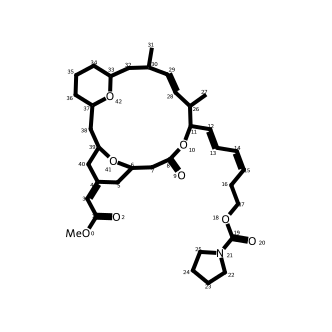 COC(=O)/C=C1\CC2CC(=O)OC(/C=C/C=C\CCOC(=O)N3CCCC3)C(C)/C=C/C(C)CC3CCCC(CC(C1)O2)O3